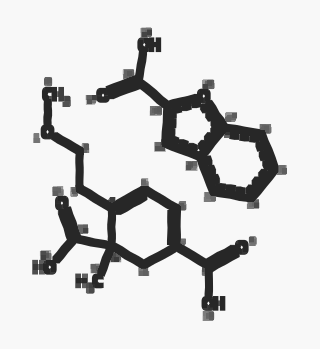 COCCC1=CC=C(C(=O)O)CC1(C)C(=O)O.O=C(O)c1cc2ccccc2o1